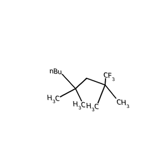 CCCCC(C)(C)CC(C)(C)C(F)(F)F